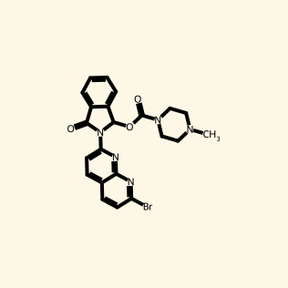 CN1CCN(C(=O)OC2c3ccccc3C(=O)N2c2ccc3ccc(Br)nc3n2)CC1